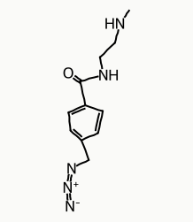 CNCCNC(=O)c1ccc(CN=[N+]=[N-])cc1